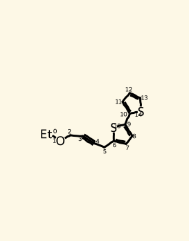 CCOCC#CCc1ccc(-c2cccs2)s1